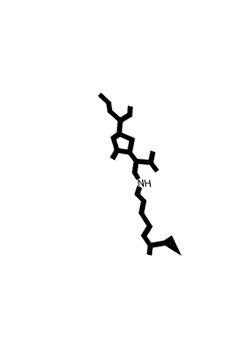 CCCC(CC)C1CC(C)C(C(CNCCCCCC(C)C2CC2)C(C)C)C1